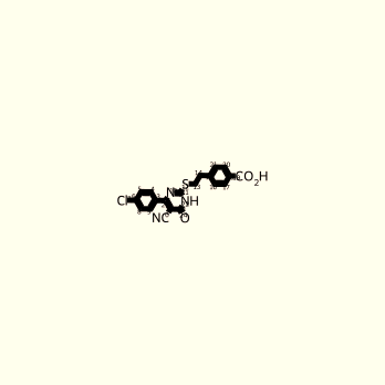 N#Cc1c(-c2ccc(Cl)cc2)nc(SCCc2ccc(C(=O)O)cc2)[nH]c1=O